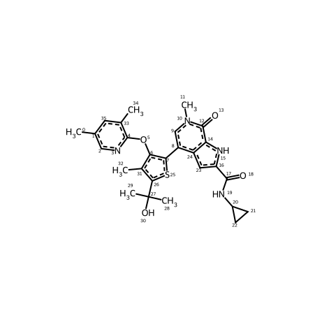 Cc1cnc(Oc2c(-c3cn(C)c(=O)c4[nH]c(C(=O)NC5CC5)cc34)sc(C(C)(C)O)c2C)c(C)c1